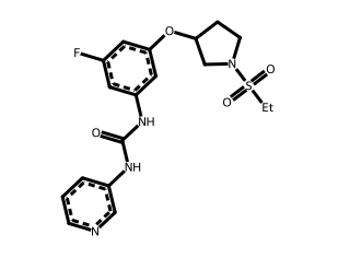 CCS(=O)(=O)N1CCC(Oc2cc(F)cc(NC(=O)Nc3cccnc3)c2)C1